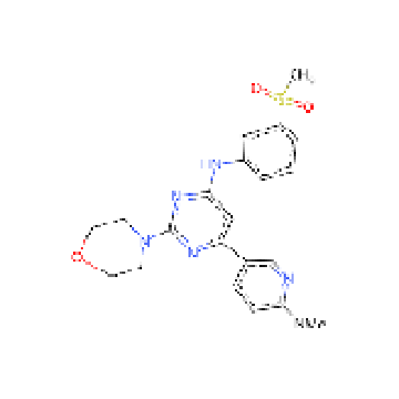 CNc1ccc(-c2cc(Nc3cccc(S(C)(=O)=O)c3)nc(N3CCOCC3)n2)cn1